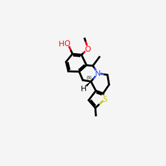 COc1c(O)ccc2c1C(C)N1CCc3sc(C)cc3[C@@H]1C2